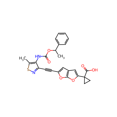 Cc1snc(C#Cc2cc3cc(C4(C(=O)O)CC4)oc3o2)c1NC(=O)OC(C)c1ccccc1